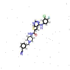 N#Cc1cccc(CN2CCC(NC(=O)c3cc4c(Nc5ccc(F)c(Cl)c5)ncnc4s3)CC2)c1